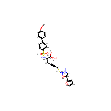 COc1ccc(-c2ccc(S(=O)(=O)NC(CC#CCSN3NC=C(c4ccco4)O3)C(=O)O)cc2)cc1